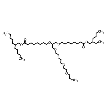 CCCCCC(CCCCC)COC(=O)CCCCCCCOC(COCCCCCCCC(=O)OCC(CC)CCCC)COCCOCCOCCOCCN